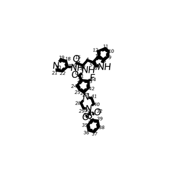 O=C(NC(Cc1c[nH]c2ccccc12)C(=O)Nc1ccncc1)c1ccc(N2CCN(S(=O)(=O)c3ccccc3)CC2)cc1F